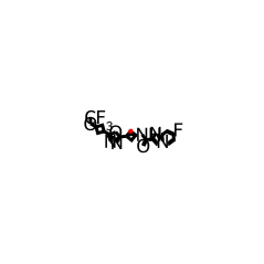 O=C(NC12CC(c3nnc(C4CC(OC(F)(F)F)C4)o3)(C1)C2)c1cn2ccc(F)cc2n1